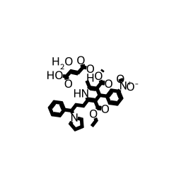 CCOC(=O)C1=C(CCC(c2ccccc2)N2CCCC2)NC(C)=C(C(=O)OC)C1c1cccc([N+](=O)[O-])c1.O.O=C(O)/C=C/C(=O)O